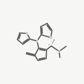 C=C1C=CC([C@H](C)N(C)C)=C1P(c1ccco1)c1ccco1